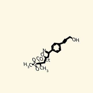 CCOC(=O)[C@@](C)(CC1CC(c2ccc(C#CCO)cc2)=NO1)S(C)(=O)=O